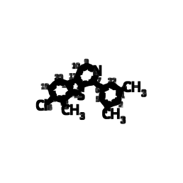 Cc1cc(C)cc(-c2nccc3c2sc2c(C)c(Cl)ccc23)c1